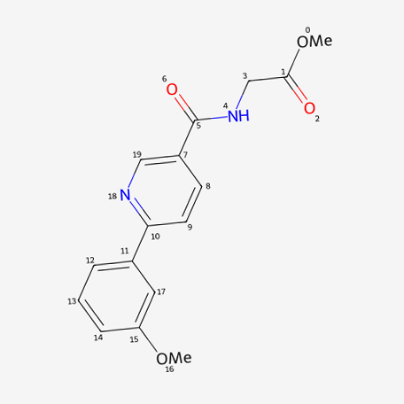 COC(=O)CNC(=O)c1ccc(-c2cccc(OC)c2)nc1